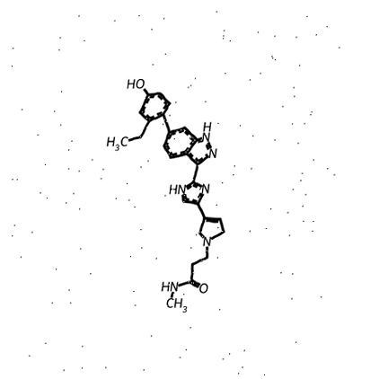 CCc1cc(O)ccc1-c1ccc2c(-c3nc(C4=CCN(CCC(=O)NC)C4)c[nH]3)n[nH]c2c1